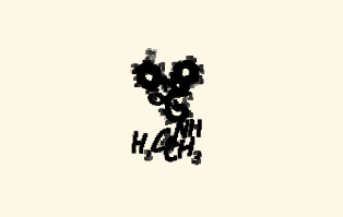 CC(C)NC1CCN(C(=O)c2cc3ccccc3n2-c2ccccc2)CC1